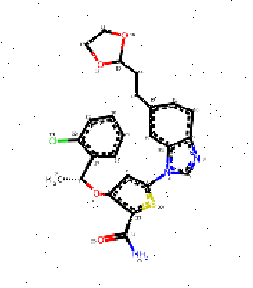 C[C@@H](Oc1cc(-n2cnc3ccc(CCC4OCCO4)cc32)sc1C(N)=O)c1ccccc1Cl